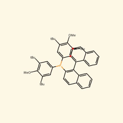 COc1c(C(C)(C)C)cc(P(c2cc(C(C)(C)C)c(OC)c(C(C)(C)C)c2)c2ccc3ccccc3c2-c2cccc3ccccc23)cc1C(C)(C)C